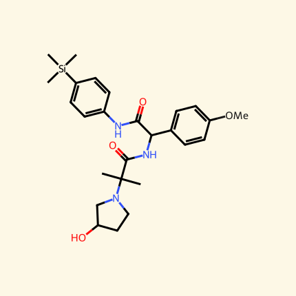 COc1ccc(C(NC(=O)C(C)(C)N2CCC(O)C2)C(=O)Nc2ccc([Si](C)(C)C)cc2)cc1